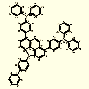 c1ccc(-c2ccc(-n3c4ccc(-c5ccc(N(c6ccccc6)c6ccccc6)cc5)c5ccc6c(-c7ccc(N(c8ccccc8)c8ccccc8)cc7)ccc3c6c54)cc2)cc1